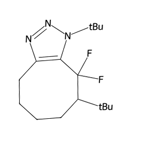 CC(C)(C)C1CCCCc2nnn(C(C)(C)C)c2C1(F)F